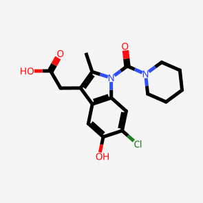 Cc1c(CC(=O)O)c2cc(O)c(Cl)cc2n1C(=O)N1CCCCC1